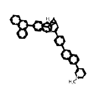 CN1C=C(c2ccc3cc(-c4ccc(C5=CC6(c7ccccc7)C[C@@H]6C(c6ccc(-c7cc8ccccc8c8ccccc78)cc6)N5)cc4)ccc3c2)C=CC1